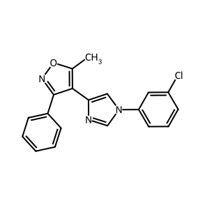 Cc1onc(-c2ccccc2)c1-c1cn(-c2cccc(Cl)c2)cn1